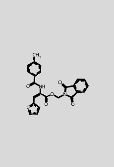 Cc1ccc(C(=O)N/C(=C/c2ccco2)C(=O)OCN2C(=O)c3ccccc3C2=O)cc1